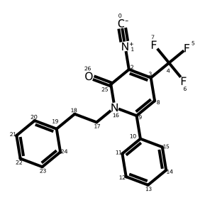 [C-]#[N+]c1c(C(F)(F)F)cc(-c2ccccc2)n(CCc2ccccc2)c1=O